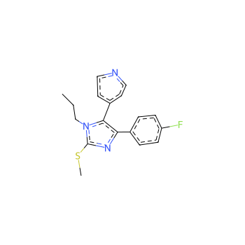 CCCn1c(SC)nc(-c2ccc(F)cc2)c1-c1ccncc1